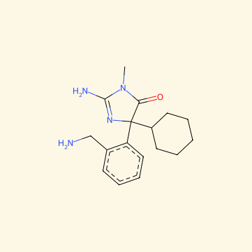 CN1C(=O)C(c2ccccc2CN)(C2CCCCC2)N=C1N